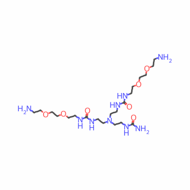 NCCOCCOCCNC(=O)NCCN(CCNC(N)=O)CCNC(=O)NCCOCCOCCN